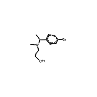 CC(c1ccc(Br)cc1)N(C)CCO